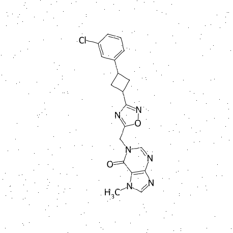 Cn1cnc2ncn(Cc3nc(C4CC(c5cccc(Cl)c5)C4)no3)c(=O)c21